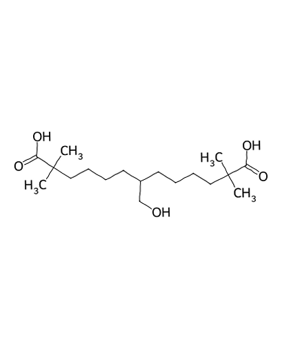 CC(C)(CCCCC(CO)CCCCC(C)(C)C(=O)O)C(=O)O